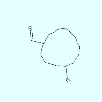 O=CC1CCCCCCCC(O)CCC1